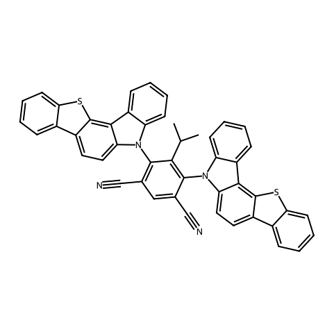 CC(C)c1c(-n2c3ccccc3c3c4sc5ccccc5c4ccc32)c(C#N)cc(C#N)c1-n1c2ccccc2c2c3sc4ccccc4c3ccc21